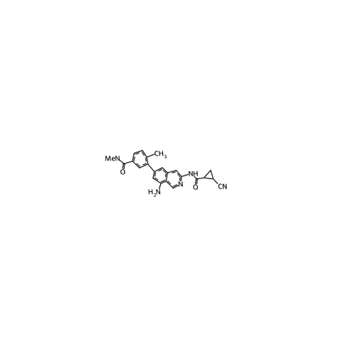 CNC(=O)c1ccc(C)c(-c2cc(N)c3cnc(NC(=O)C4CC4C#N)cc3c2)c1